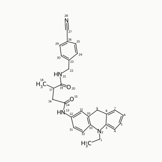 CCN1c2ccccc2Cc2cc(NC(=O)CC(C)C(=O)NCc3ccc(C#N)cc3)ccc21